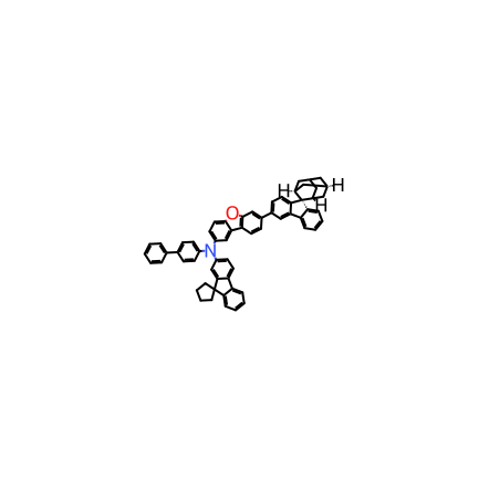 c1ccc(-c2ccc(N(c3ccc4c(c3)C3(CCCC3)c3ccccc3-4)c3ccc4oc5cc(-c6ccc7c(c6)-c6ccccc6[C@]76[C@@H]7CC8C[C@@H](C7)C[C@@H]6C8)ccc5c4c3)cc2)cc1